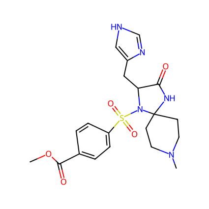 COC(=O)c1ccc(S(=O)(=O)N2C(Cc3c[nH]cn3)C(=O)NC23CCN(C)CC3)cc1